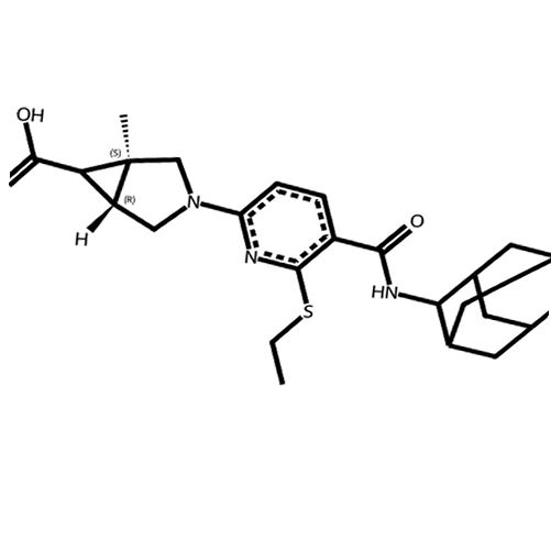 CCSc1nc(N2C[C@@H]3C(C(=O)O)[C@@]3(C)C2)ccc1C(=O)NC1C2CC3CC(C2)CC1C3